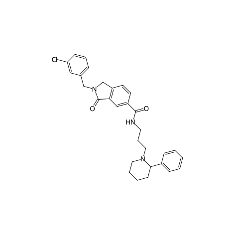 O=C(NCCCN1CCCCC1c1ccccc1)c1ccc2c(c1)C(=O)N(Cc1cccc(Cl)c1)C2